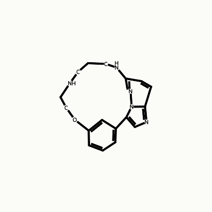 c1cc2cc(c1)-c1cnc3ccc(nn13)NCCCNCCO2